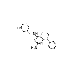 Nc1nc(NCC2CCCNC2)c2c(n1)C(c1ccccc1)CCC2